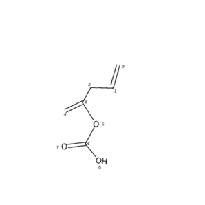 C=CCC(=C)OC(=O)O